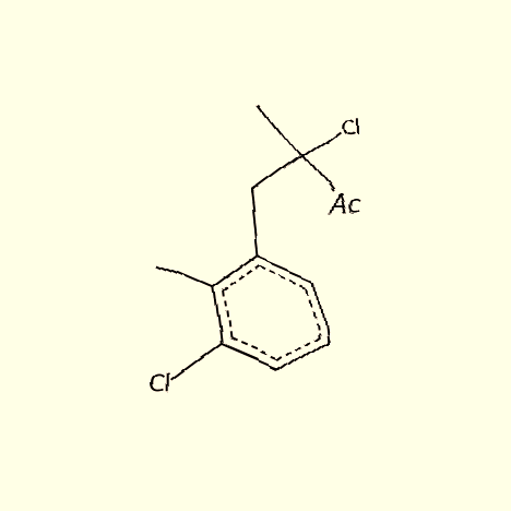 CC(=O)C(C)(Cl)Cc1cccc(Cl)c1C